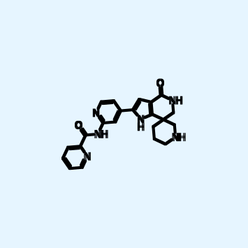 O=C(Nc1cc(-c2cc3c([nH]2)C2(CCCNC2)CNC3=O)ccn1)c1ccccn1